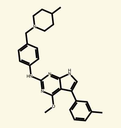 COc1nc(Nc2ccc(CN3CCC(C)CC3)cc2)nc2[nH]cc(-c3cccc(C)c3)c12